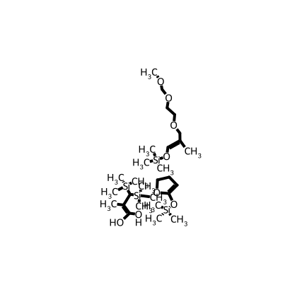 CC(=C(O)O)C([Si](C)(C)C)[Si](C)(C)C.COCOCCOCC(C)=CO[Si](C)(C)C.C[Si](C)(C)OC1=CCCO1